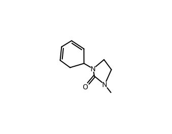 CN1CCN(C2C=CC=CC2)C1=O